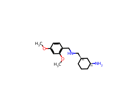 COc1ccc(CNC[C@@H]2CCC[C@H](N)C2)c(OC)c1